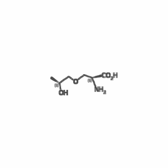 C[C@H](O)COC[C@H](N)C(=O)O